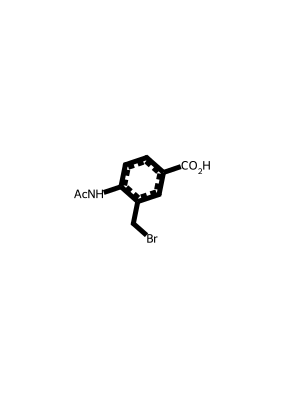 CC(=O)Nc1ccc(C(=O)O)cc1CBr